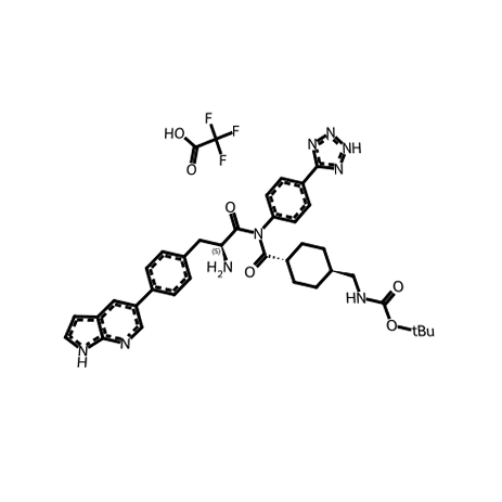 CC(C)(C)OC(=O)NC[C@H]1CC[C@H](C(=O)N(C(=O)[C@@H](N)Cc2ccc(-c3cnc4[nH]ccc4c3)cc2)c2ccc(-c3nn[nH]n3)cc2)CC1.O=C(O)C(F)(F)F